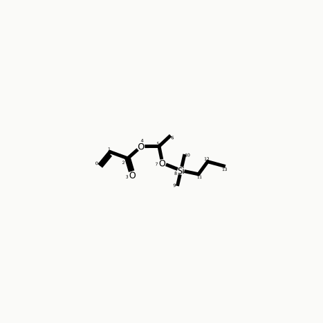 C=CC(=O)OC(C)O[Si](C)(C)CCC